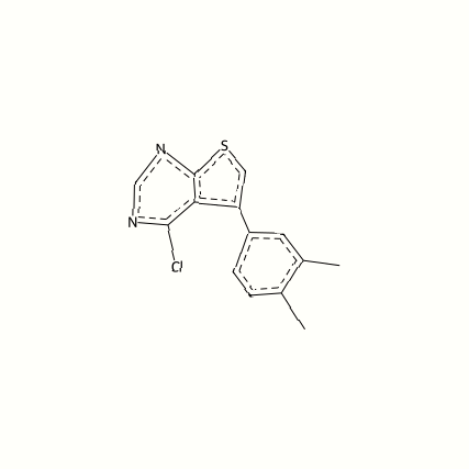 Cc1ccc(-c2csc3ncnc(Cl)c23)cc1C